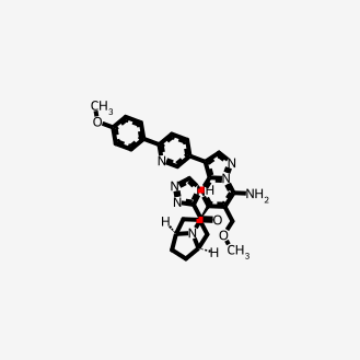 COCc1c([C@H]2C[C@H]3CC[C@@H](C2)N3C(=O)c2nnc[nH]2)nc2c(-c3ccc(-c4ccc(OC)cc4)nc3)cnn2c1N